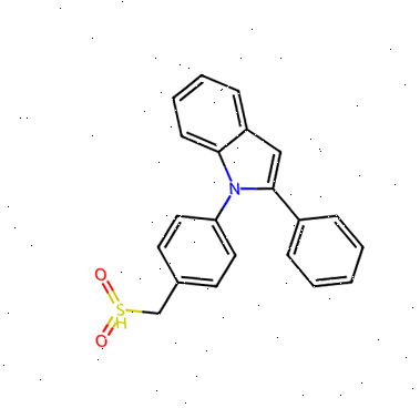 O=[SH](=O)Cc1ccc(-n2c(-c3ccccc3)cc3ccccc32)cc1